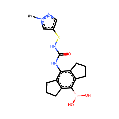 CC(C)n1cc(SNC(=O)Nc2c3c(c(B(O)O)c4c2CCC4)CCC3)cn1